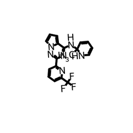 CC1(Nc2nc(-c3cccc(C(F)(F)F)n3)nn3cccc23)C=CC=CN1